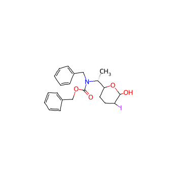 C[C@H](C1CCC(I)C(O)O1)N(Cc1ccccc1)C(=O)OCc1ccccc1